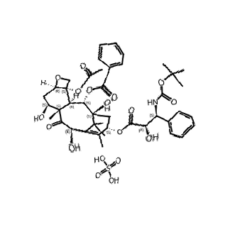 CC(=O)O[C@@]12CO[C@@H]1C[C@H](O)[C@@]1(C)C(=O)[C@H](O)C3=C(C)[C@@H](OC(=O)[C@H](O)[C@@H](NC(=O)OC(C)(C)C)c4ccccc4)C[C@@](O)([C@@H](OC(=O)c4ccccc4)[C@H]21)C3(C)C.O=S(=O)(O)O